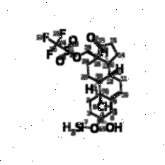 C[C@]12CC[C@](O)(O[SiH3])CC1=CC[C@H]1[C@@H]3CCC(=O)[C@@]3(COS(=O)(=O)C(F)(F)F)CC[C@@H]12